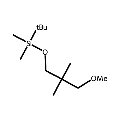 COCC(C)(C)CO[Si](C)(C)C(C)(C)C